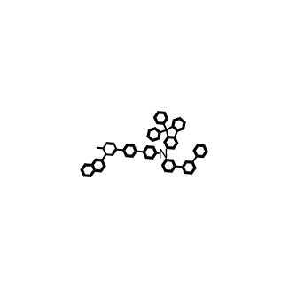 CC1C=CC(c2ccc(-c3ccc(N(c4cccc(-c5cccc(-c6ccccc6)c5)c4)c4ccc5c(c4)C(c4ccccc4)(c4ccccc4)c4ccccc4-5)cc3)cc2)=CC1c1ccc2ccccc2c1